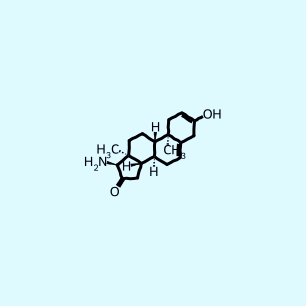 C[C@]12CC[C@H]3[C@@H](CC=C4CC(O)=CC[C@@]43C)[C@@H]1CC(=O)[C@H]2N